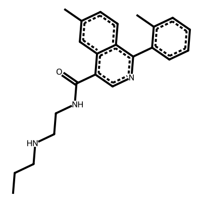 CCCNCCNC(=O)c1cnc(-c2ccccc2C)c2ccc(C)cc12